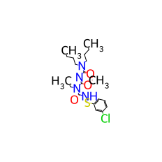 CCCCN(CCCC)C(=O)N=C(OC)N(CC)C(=O)NSc1cccc(Cl)c1